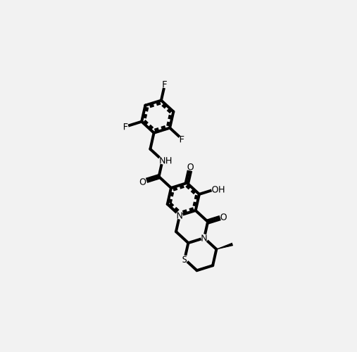 C[C@H]1CCSC2Cn3cc(C(=O)NCc4c(F)cc(F)cc4F)c(=O)c(O)c3C(=O)N21